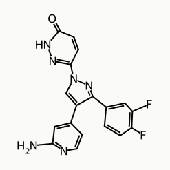 Nc1cc(-c2cn(-c3ccc(=O)[nH]n3)nc2-c2ccc(F)c(F)c2)ccn1